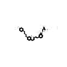 CCc1ccc(CCCCc2ccc3ccc(C=Cc4cccc(NCCC(CC)(CC)C(=O)O)c4)nc3c2)cc1